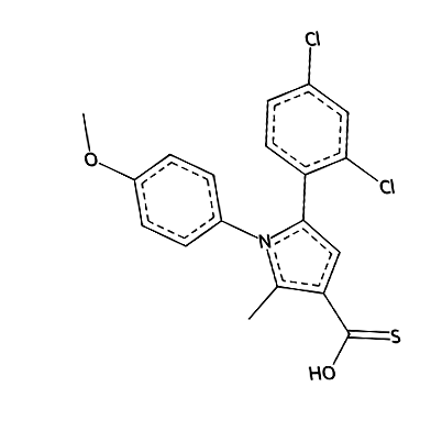 COc1ccc(-n2c(-c3ccc(Cl)cc3Cl)cc(C(O)=S)c2C)cc1